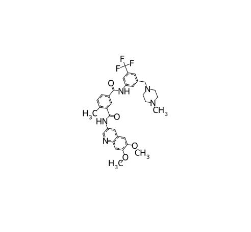 COc1cc2cc(NC(=O)c3cc(C(=O)Nc4cc(CN5CCN(C)CC5)cc(C(F)(F)F)c4)ccc3C)cnc2cc1OC